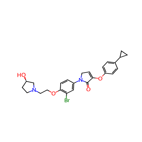 O=C1C(Oc2ccc(C3CC3)cc2)=CCN1c1ccc(OCCN2CC[C@@H](O)C2)c(Br)c1